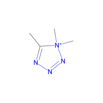 CC1=NN=N[N+]1(C)C